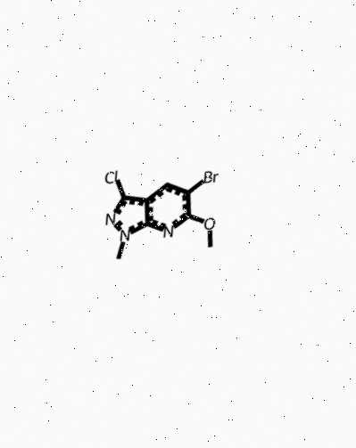 COc1nc2c(cc1Br)c(Cl)nn2C